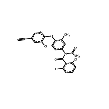 Cc1cc(N(C(N)=O)C(=O)c2c(F)cccc2Cl)ccc1Oc1ncc(C#N)cc1Cl